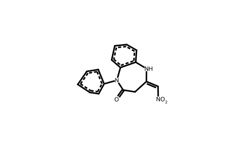 O=C1CC(=C[N+](=O)[O-])Nc2ccccc2N1c1ccccc1